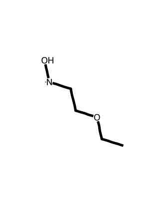 CCOCC[N]O